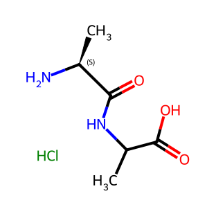 CC(NC(=O)[C@H](C)N)C(=O)O.Cl